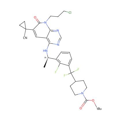 C[C@@H](Nc1ncnc2c1cc(C1(C#N)CC1)c(=O)n2CCCCl)c1cccc(C(F)(F)C2CCN(C(=O)OC(C)(C)C)CC2)c1F